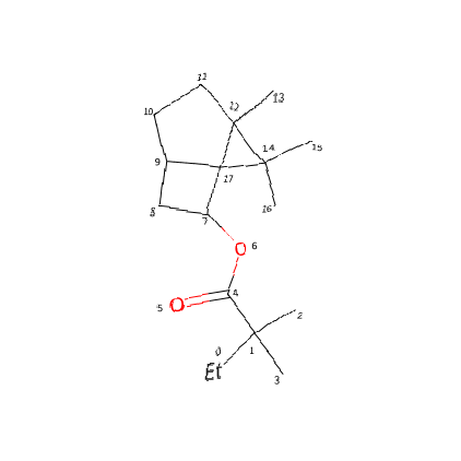 CCC(C)(C)C(=O)OC1CC2CCC3(C)C(C)(C)C213